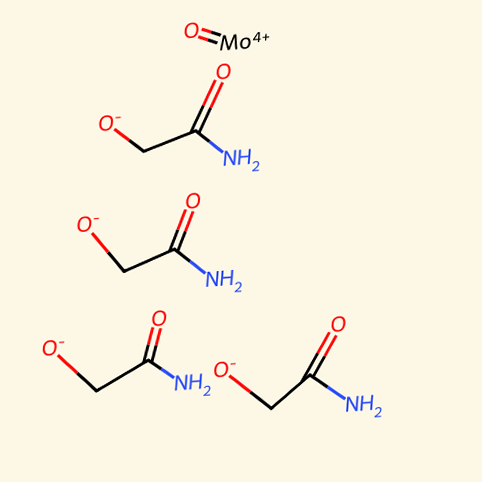 NC(=O)C[O-].NC(=O)C[O-].NC(=O)C[O-].NC(=O)C[O-].[O]=[Mo+4]